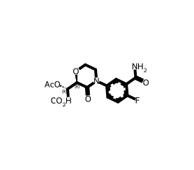 CC(=O)O[C@@H](C(=O)O)[C@H]1OCCN(c2ccc(F)c(C(N)=O)c2)C1=O